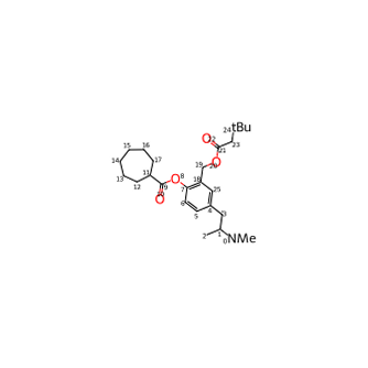 CNC(C)[CH]c1ccc(OC(=O)C2CCCCCC2)c(COC(=O)CC(C)(C)C)c1